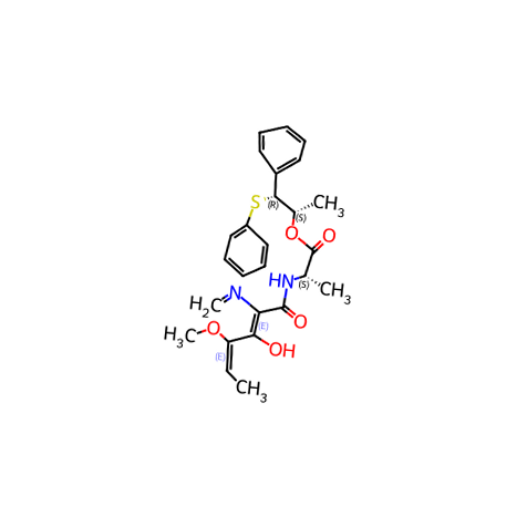 C=N/C(C(=O)N[C@@H](C)C(=O)O[C@@H](C)[C@H](Sc1ccccc1)c1ccccc1)=C(O)\C(=C/C)OC